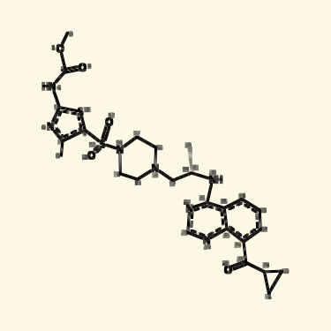 COC(=O)Nc1nc(C)c(S(=O)(=O)N2CCN(C[C@H](C)Nc3ncnc4c(C(=O)C5CC5)cccc34)CC2)s1